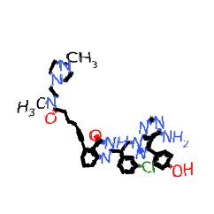 CN1CCN(CCN(C)C(=O)CCCC#Cc2cccc3nc(C(Cn4nc(-c5ccc(O)cc5)c5c(N)ncnc54)c4cccc(Cl)c4)[nH]c(=O)c23)CC1